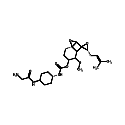 COC1C(OC(=O)N[C@H]2CC[C@H](NC(=O)CN)CC2)CC[C@]23OC2C2(O[C@@H]2CC=C(C)C)C13